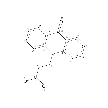 O=C(O)CCC1c2ccccc2C(=O)c2ccccc21